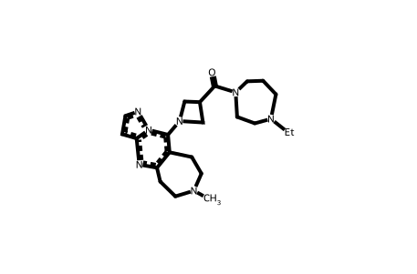 CCN1CCCN(C(=O)C2CN(c3c4c(nc5ccnn35)CCN(C)CC4)C2)CC1